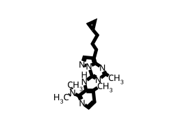 Cc1nc(Nc2c(C)ccnc2N(C)C)n2ncc(CCCC3CC3)c2n1